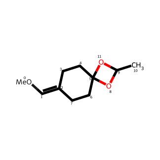 COC=C1CCC2(CC1)OC(C)O2